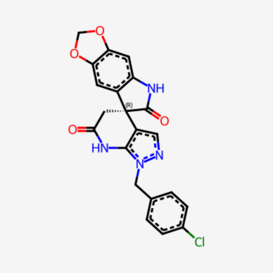 O=C1C[C@]2(C(=O)Nc3cc4c(cc32)OCO4)c2cnn(Cc3ccc(Cl)cc3)c2N1